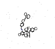 COc1ccc(NC(=O)c2c(/C=C/c3ccc(OCCN4CCCCC4=O)cc3)cc(OC)cc2OC)c(F)c1